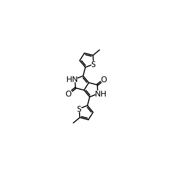 Cc1ccc(C2=C3C(=O)NC(c4ccc(C)s4)=C3C(=O)N2)s1